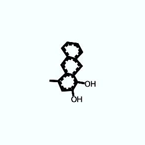 Cc1cc(O)c(O)c2cc3ccccc3cc12